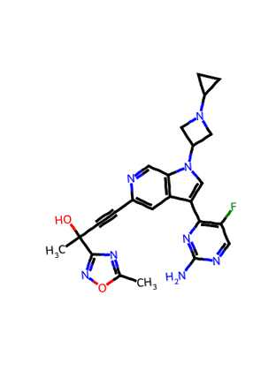 Cc1nc(C(C)(O)C#Cc2cc3c(-c4nc(N)ncc4F)cn(C4CN(C5CC5)C4)c3cn2)no1